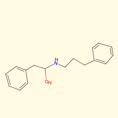 OC(Cc1ccccc1)NCCCc1ccccc1